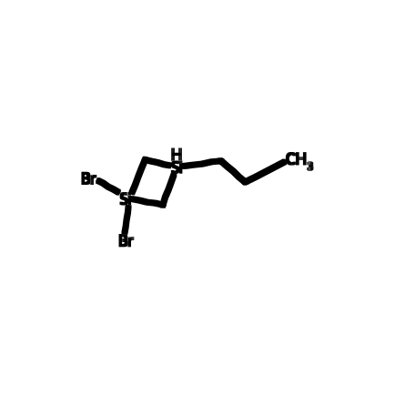 CCC[SiH]1C[Si](Br)(Br)C1